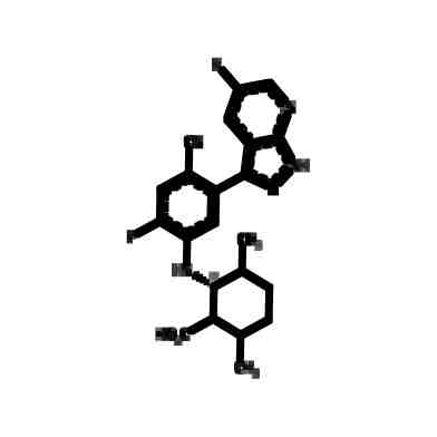 CC1CCC(C)[C@@H](Nc2cc(-c3n[nH]c4ncc(F)cc34)c(C#N)cc2F)C1C(=O)O